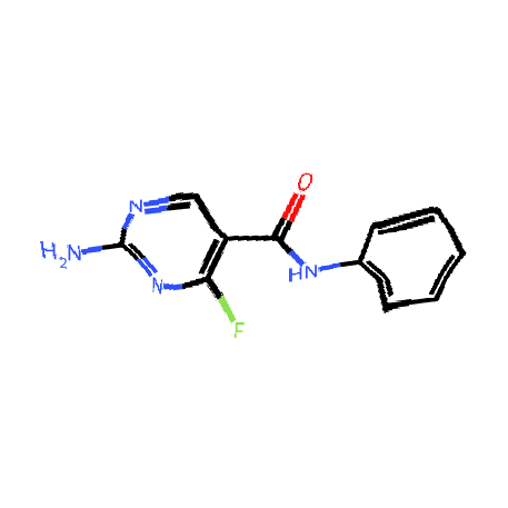 Nc1ncc(C(=O)Nc2ccccc2)c(F)n1